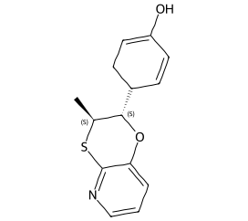 C[C@@H]1Sc2ncccc2O[C@H]1C1C=CC(O)=CC1